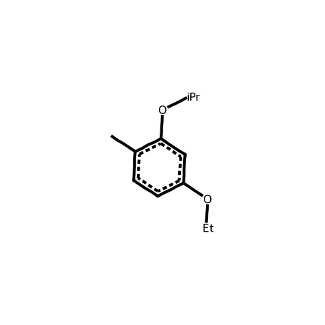 CCOc1ccc(C)c(OC(C)C)c1